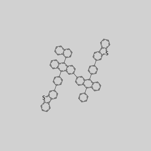 c1ccc(-c2c3ccccc3c(-c3ccc(-c4ccc5c(c4)sc4ccccc45)cc3)c3cc(-c4ccc5c(-c6cccc7ccccc67)c6ccccc6c(-c6ccc(-c7ccc8c(c7)sc7ccccc78)cc6)c5c4)ccc23)cc1